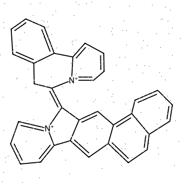 c1ccc2c(c1)C/C(=C1/c3cc4c(ccc5ccccc54)cc3-c3cccc[n+]31)[n+]1ccccc1-2